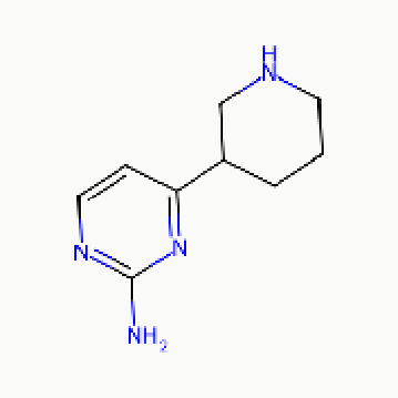 Nc1nccc(C2CCCNC2)n1